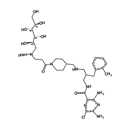 CCCCCCN(CCC(=O)N1CCC(CNCC(CNC(=O)c2nc(Cl)c(N)nc2N)Cc2ccccc2C)CC1)C[C@@H](O)[C@@H](O)[C@H](O)[C@H](O)CO